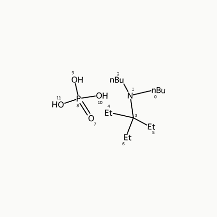 CCCCN(CCCC)C(CC)(CC)CC.O=P(O)(O)O